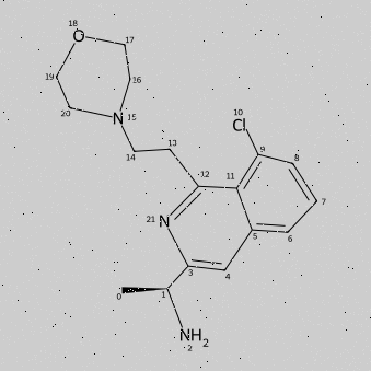 C[C@H](N)c1cc2cccc(Cl)c2c(CCN2CCOCC2)n1